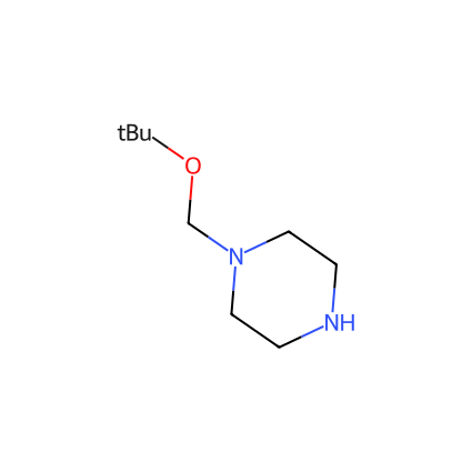 CC(C)(C)OCN1CCNCC1